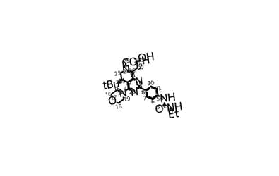 CCNC(=O)Nc1ccc(-c2nc3c(c(N4CCOCC4)n2)[C@@H](C(C)(C)C)CN(C(=O)O)C3CCO)cc1